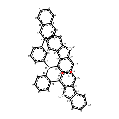 c1cc(-c2ccc3ccccc3c2)cc(N(c2ccccc2-c2cccc3c2oc2ccccc23)c2cccc3oc4ccccc4c23)c1